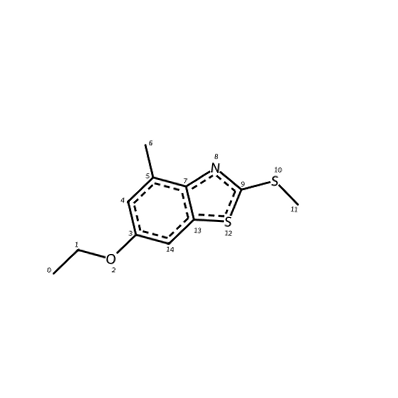 CCOc1cc(C)c2nc(SC)sc2c1